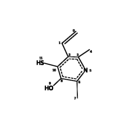 C=Cc1c(C)nc(C)c(O)c1S